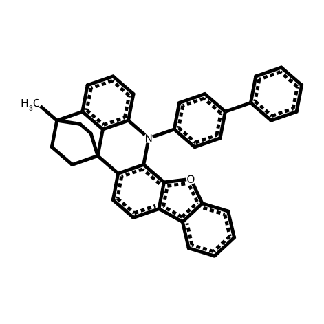 CC12CCC3(CC1)c1ccc4c(oc5ccccc54)c1N(c1ccc(-c4ccccc4)cc1)c1cccc2c13